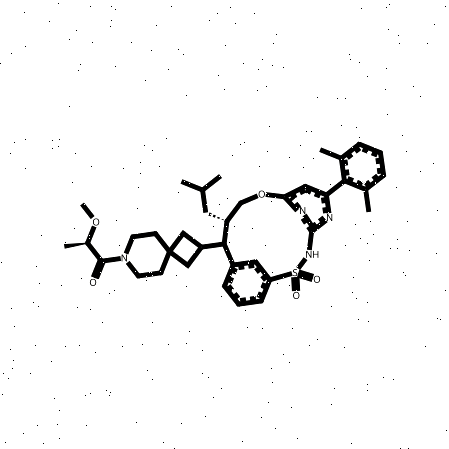 CO[C@H](C)C(=O)N1CCC2(CC1)CC(C1c3cccc(c3)S(=O)(=O)Nc3nc(cc(-c4c(C)cccc4C)n3)OC[C@H]1CC(C)C)C2